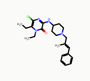 CCc1c(Cl)nc(NC2CCN(C/C(C)=C/c3ccccc3)CC2)c(=O)n1CC